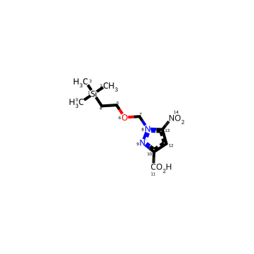 C[Si](C)(C)CCOCn1nc(C(=O)O)cc1[N+](=O)[O-]